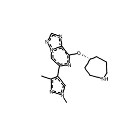 Cc1nn(C)cc1-c1cn2ncnc2c(O[C@@H]2CCCNCC2)n1